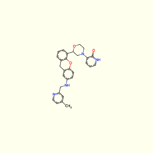 Cc1ccnc(CNc2ccc3c(c2)Cc2cccc(C4CN(c5ccc[nH]c5=O)CCO4)c2O3)c1